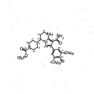 COc1cc(-c2nn3c(c2C(N)=O)NCCC3C2CCN(C(=O)OC(C)(C)C)CC2)cc(OC)c1Br